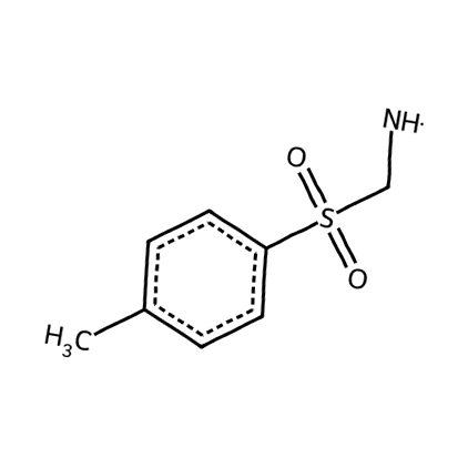 Cc1ccc(S(=O)(=O)C[NH])cc1